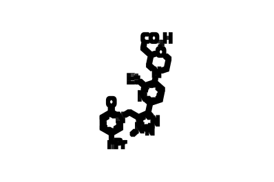 CCCc1ccc(=O)n(Cc2c(-c3ccc(N4CCOC(CC(=O)O)C4)c(CC)n3)nnn2C)c1